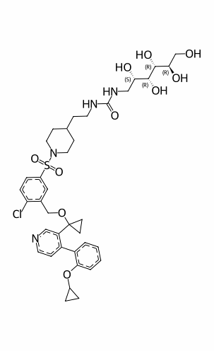 O=C(NCCC1CCN(S(=O)(=O)c2ccc(Cl)c(COC3(c4cnccc4-c4ccccc4OC4CC4)CC3)c2)CC1)NC[C@H](O)[C@@H](O)[C@H](O)[C@H](O)CO